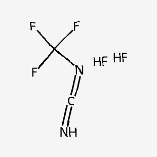 F.F.N=C=NC(F)(F)F